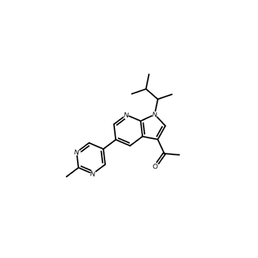 CC(=O)c1cn(C(C)C(C)C)c2ncc(-c3cnc(C)nc3)cc12